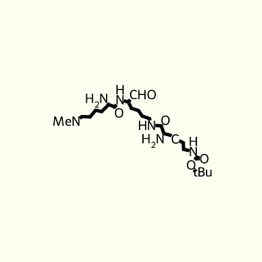 CNCCCCC(N)C(=O)NC(C=O)CCCCNC(=O)C(N)CCCCNC(=O)OC(C)(C)C